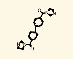 O=C(c1ccc(-c2ccc(C(=O)n3ccnc3)cc2)cc1)n1ccnc1